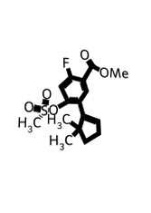 COC(=O)c1cc(C2=CCCC2(C)C)c(OS(C)(=O)=O)cc1F